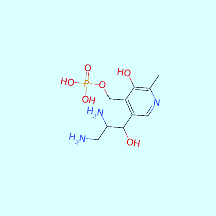 Cc1ncc(C(O)C(N)CN)c(COP(=O)(O)O)c1O